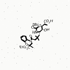 CCOC(=O)[C@@]1(C)CN(C(=O)CC(C)(C)C[C@H](NC(=O)OC(C)(C)C)[C@@H](O)C[C@@H](C)C(=O)O)c2ccccc2O1